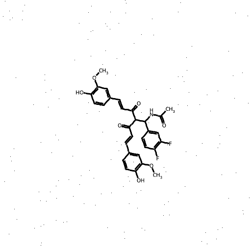 COc1cc(C=CC(=O)C(C(=O)C=Cc2ccc(O)c(OC)c2)C(NC(C)=O)c2ccc(F)c(F)c2)ccc1O